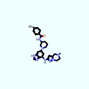 CN1CCn2nc(Nc3cc(N4CCCC(NC(=O)c5ccc(C(C)(C)C)cc5)C4)cc4[nH]cnc34)cc2C1